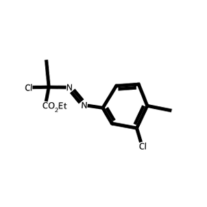 CCOC(=O)C(C)(Cl)N=Nc1ccc(C)c(Cl)c1